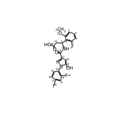 COc1cccc(F)c1C(CC(=O)O)NC(=O)c1cc(O)n(-c2ccc(F)cc2F)n1